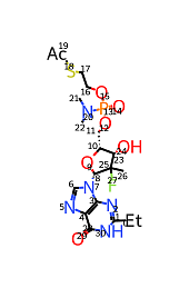 CCc1nc2c(ncn2[C@@H]2O[C@H](COP(=O)(OCCSC(C)=O)N(C)C)[C@H](O)C2(C)F)c(=O)[nH]1